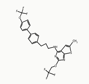 Cc1cc2c(NCCCc3ccc(-c4ccc(OC(F)(F)F)cc4)cc3)nc(OCC(F)(F)F)nc2s1